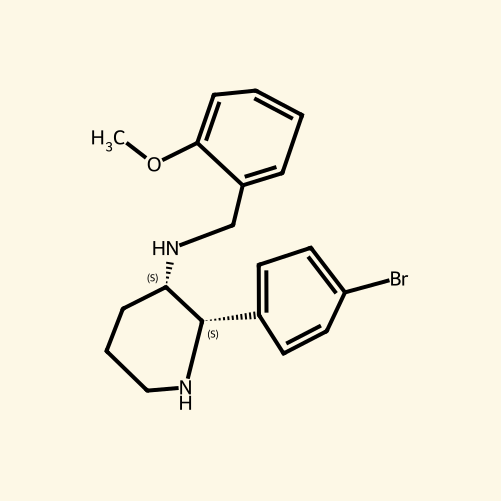 COc1ccccc1CN[C@H]1CCCN[C@H]1c1ccc(Br)cc1